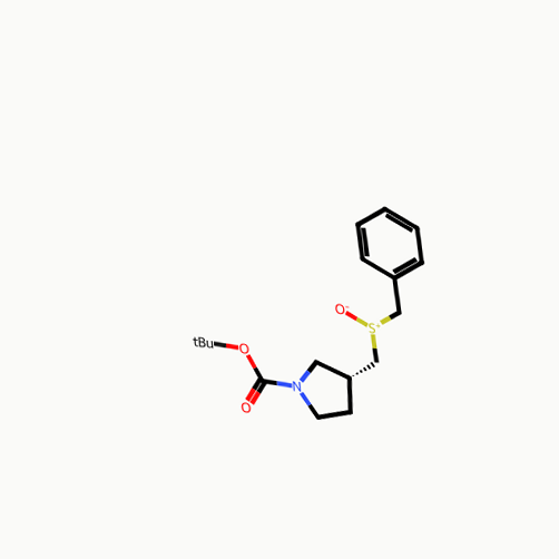 CC(C)(C)OC(=O)N1CC[C@@H](C[S+]([O-])Cc2ccccc2)C1